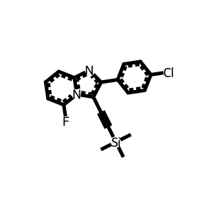 C[Si](C)(C)C#Cc1c(-c2ccc(Cl)cc2)nc2cccc(F)n12